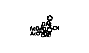 CC(=O)OC[C@H]1O[C@@](O)(c2ccc(C#N)c(COc3ccccc3)c2)[C@H](OC(C)=O)[C@@H](OC(C)=O)[C@@H]1OC(C)=O